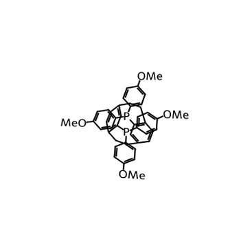 COc1ccc(P(c2ccc(OC)cc2)c2cc3ccc2CCc2ccc(c(P(c4ccc(OC)cc4)c4ccc(OC)cc4)c2)CC3)cc1